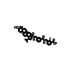 C=C(C)[C@@H]1CC[C@]2(C(=O)NCc3cccc(C(=O)NCc4cccc(C(=O)OC)c4F)c3)CC[C@]3(C)C(CCC4[C@@]5(C)CC[C@H](O)C(C)(C)C5CC[C@]43C)C12